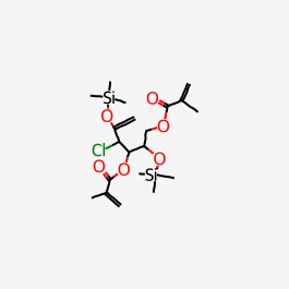 C=C(C)C(=O)OCC(O[Si](C)(C)C)C(OC(=O)C(=C)C)C(Cl)C(=C)O[Si](C)(C)C